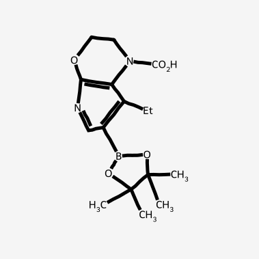 CCc1c(B2OC(C)(C)C(C)(C)O2)cnc2c1N(C(=O)O)CCO2